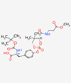 COC(=O)CCNC(=O)[C@@H]1O[P@@](=O)(Oc2ccc(C[C@H](NC(=O)OC(C)(C)C)C(=O)O)cc2)OCC1(C)C